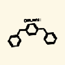 N=C=O.c1ccc(Cc2ccc(Cc3ccccc3)cc2)cc1